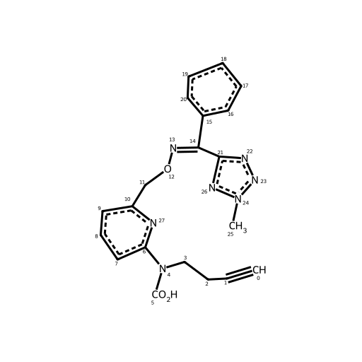 C#CCCN(C(=O)O)c1cccc(CO/N=C(/c2ccccc2)c2nnn(C)n2)n1